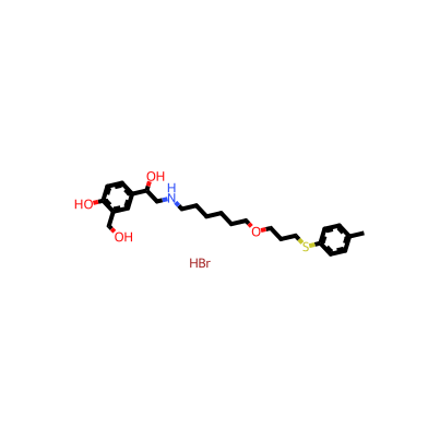 Br.Cc1ccc(SCCCOCCCCCCNCC(O)c2ccc(O)c(CO)c2)cc1